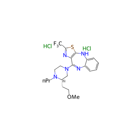 CCCN1CCN(C2=Nc3ccccc3Nc3sc(C(F)(F)F)nc32)C[C@@H]1CCOC.Cl.Cl